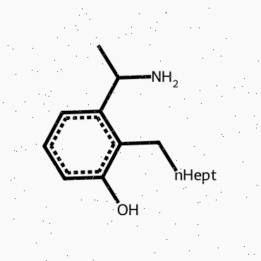 CCCCCCCCc1c(O)cccc1C(C)N